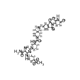 CS(=O)(=O)c1ccc(Nc2nc(N3CCCC(NC(=O)N4CCC5(CCN(Cc6ccc7c(c6)C(=O)N(C6CCC(=O)NC6=O)C7=O)C5)CC4)C3)cnc2C(N)=O)cc1